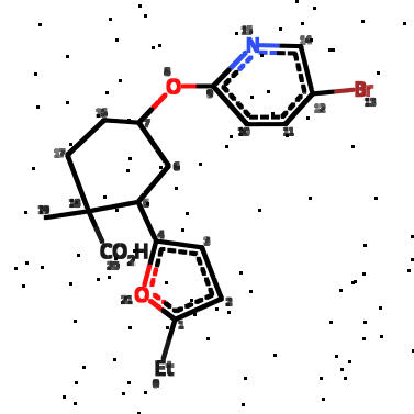 CCc1ccc(C2CC(Oc3ccc(Br)cn3)CCC2(C)C(=O)O)o1